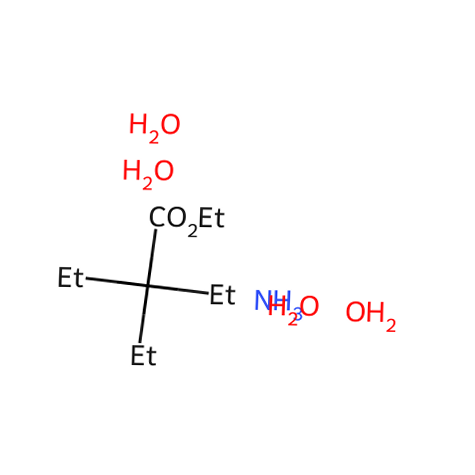 CCOC(=O)C(CC)(CC)CC.N.O.O.O.O